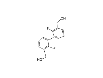 OCc1cccc(-c2cccc(CO)c2F)c1F